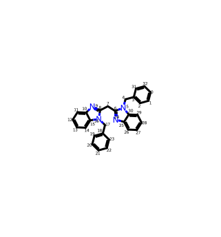 c1ccc(Cn2c(Cc3nc4ccccc4n3Cc3ccccc3)nc3ccccc32)cc1